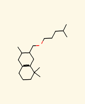 CC(C)CCCOCC1CC2=C(CCCC2(C)C)CC1C